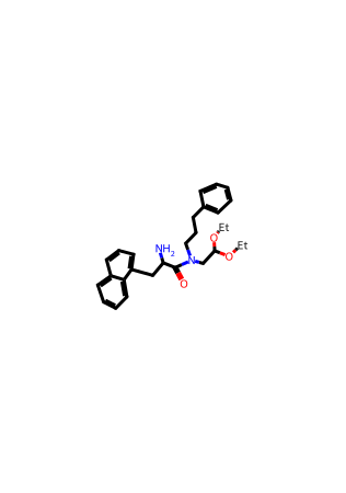 CCOC(CN(CCCc1ccccc1)C(=O)C(N)Cc1cccc2ccccc12)OCC